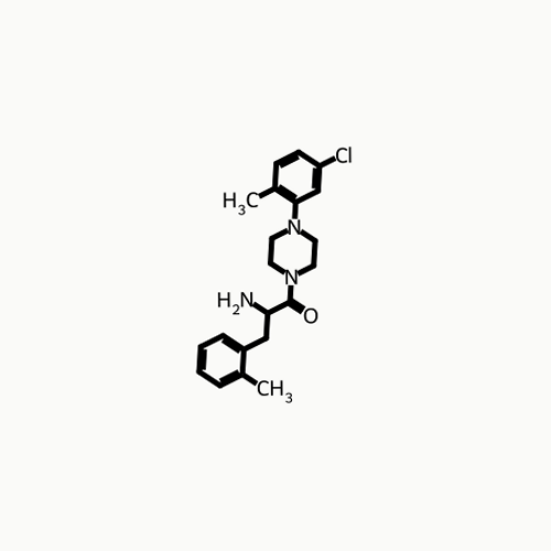 Cc1ccccc1CC(N)C(=O)N1CCN(c2cc(Cl)ccc2C)CC1